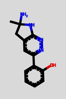 CC1(N)Cc2cc(-c3ccccc3O)nnc2N1